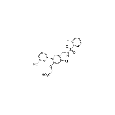 Cc1ccccc1S(=O)(=O)NCc1cc(-c2cccc(C#N)c2)c(OCC(=O)O)cc1Cl